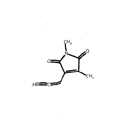 B=C=CC1=C(C)C(=O)N(C)C1=O